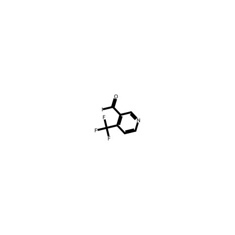 O=C(I)c1cnccc1C(F)(F)F